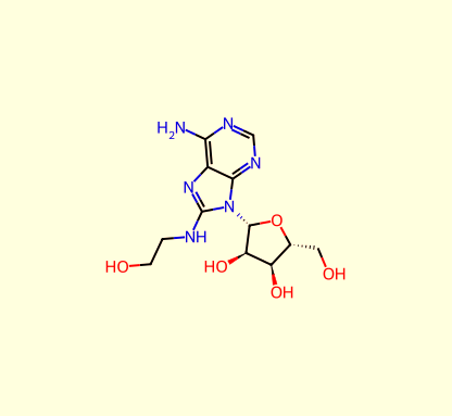 Nc1ncnc2c1nc(NCCO)n2[C@@H]1O[C@H](CO)[C@@H](O)[C@H]1O